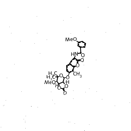 COc1cccc(C(=O)Nc2cc3ccc(O[C@@H]4OC(C)(C)[C@H](OC)[C@@H]5OC(=O)O[C@H]45)c(C)c3oc2=O)c1